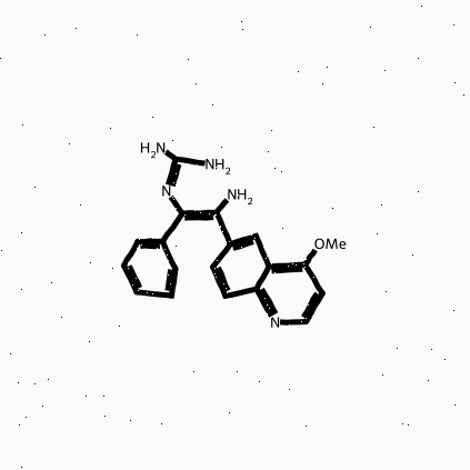 COc1ccnc2ccc(/C(N)=C(/N=C(N)N)c3ccccc3)cc12